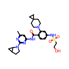 Cc1cc(NC(=O)c2ccc(NS(=O)(=O)CCO)cc2N2CCC3(CC2)CC3)nc(N2CCC3CC32)n1